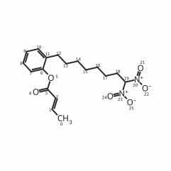 C/C=C/C(=O)Oc1ccccc1CCCCCCCC([N+](=O)[O-])[N+](=O)[O-]